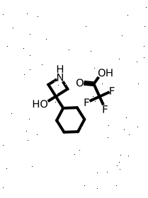 O=C(O)C(F)(F)F.OC1(C2CCCCC2)CNC1